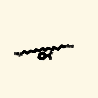 CCCCCC=CCC=CCC=CCC=CCCCC(=O)O.O=C(Br)c1ccccc1